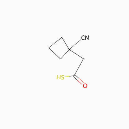 N#CC1(CC(=O)S)CCC1